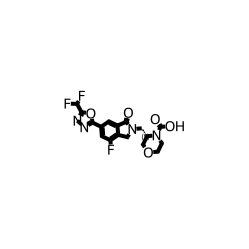 O=C1c2cc(-c3nnc(C(F)F)o3)cc(F)c2CN1C[C@H]1COCCN1C(=O)O